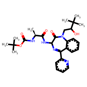 C[C@H](NC(=O)OC(C)(C)C)C(=O)NC1N=C(c2ccccn2)c2ccccc2N(CC(O)C(C)(C)C)C1=O